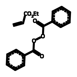 C=CC(=O)OCC.O=C(OOC(=O)c1ccccc1)c1ccccc1